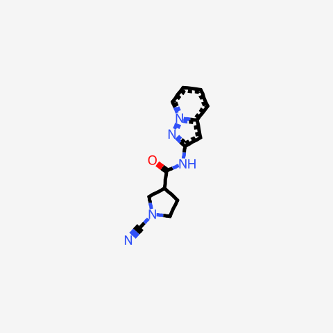 N#CN1CCC(C(=O)Nc2cc3ccccn3n2)C1